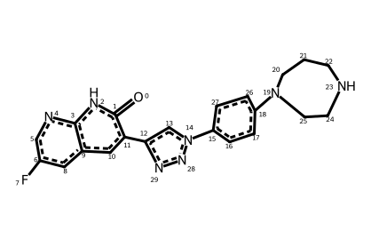 O=c1[nH]c2ncc(F)cc2cc1-c1cn(-c2ccc(N3CCCNCC3)cc2)nn1